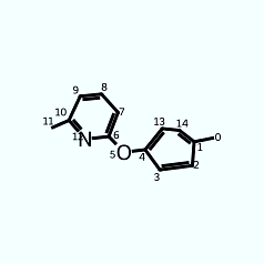 Cc1ccc(Oc2cccc(C)n2)cc1